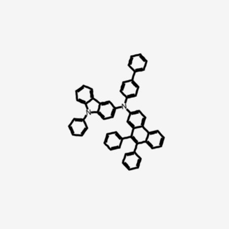 c1ccc(-c2ccc(N(c3ccc4c(c3)c(-c3ccccc3)c(-c3ccccc3)c3ccccc34)c3ccc4c(c3)c3ccccc3n4-c3ccccc3)cc2)cc1